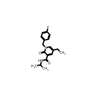 CCc1cc(C(=O)NC(C)C)c(=O)n(Cc2ccc(F)cc2)c1